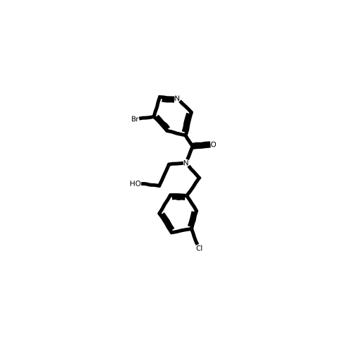 O=C(c1cncc(Br)c1)N(CCO)Cc1cccc(Cl)c1